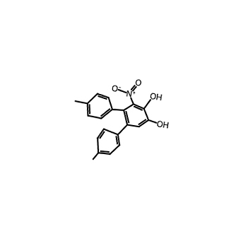 Cc1ccc(-c2cc(O)c(O)c([N+](=O)[O-])c2-c2ccc(C)cc2)cc1